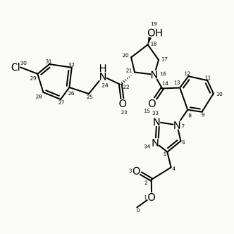 COC(=O)Cc1cn(-c2ccccc2C(=O)N2C[C@H](O)C[C@H]2C(=O)NCc2ccc(Cl)cc2)nn1